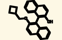 Oc1ccc2ccccc2c1-c1c(OCC2CCC2)ccc2ccccc12